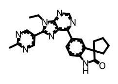 CCn1c(-c2cnc(C)nc2)nc2c(-c3ccc4c(c3)C3(CCCC3)C(=O)N4)ncnc21